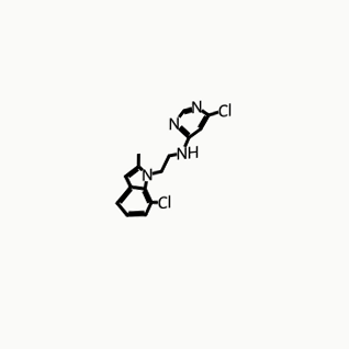 Cc1cc2cccc(Cl)c2n1CCNc1cc(Cl)ncn1